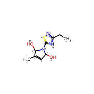 CCc1nsc(N2C(O)C=C(C)C2O)n1